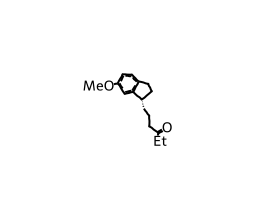 CCC(=O)CCC[C@H]1CCc2ccc(OC)cc21